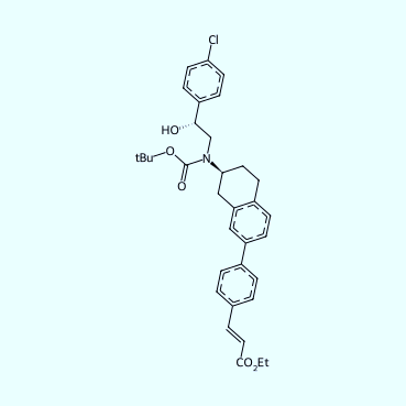 CCOC(=O)/C=C/c1ccc(-c2ccc3c(c2)C[C@@H](N(C[C@H](O)c2ccc(Cl)cc2)C(=O)OC(C)(C)C)CC3)cc1